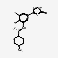 C[C@H](Nc1cc(-c2n[nH]c(=O)o2)cc(F)c1Cl)C1CCC(N)CC1